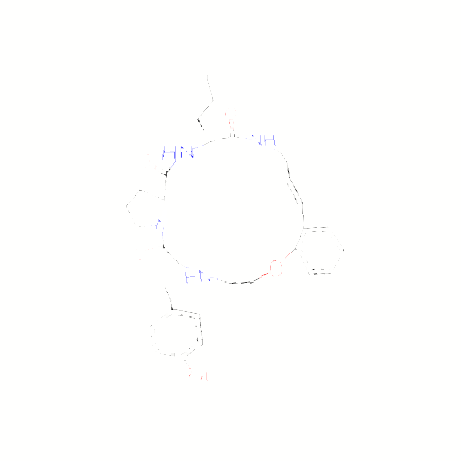 CCC[C@@H]1NC(=O)C2CCCN2C(=O)[C@@H](Cc2ccc(O)cc2)NCCOc2ccccc2/C=C/CNC1=O